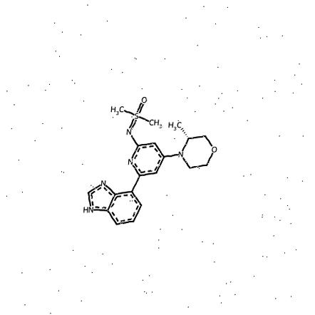 C[C@@H]1COCCN1c1cc(N=S(C)(C)=O)nc(-c2cccc3[nH]cnc23)c1